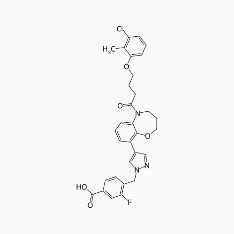 Cc1c(Cl)cccc1OCCCC(=O)N1CCCOc2c(-c3cnn(Cc4ccc(C(=O)O)cc4F)c3)cccc21